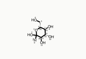 [2H]C1(O)O[C@H](CO)[C@@H](O)[C@H](O)[C@H]1O